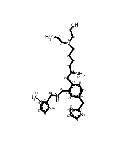 CCCN(CCC)CCCCC(N)Cc1ccc(Cc2ncc[nH]2)cc1CNCc1nccn1C